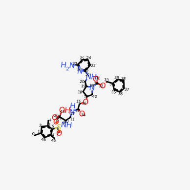 Cc1cc(C)c(S(=O)(=O)NC(CNC(=O)COC2CC(CNc3cccc(N)n3)N(C(=O)OCc3ccccc3)C2)C(=O)O)c(C)c1